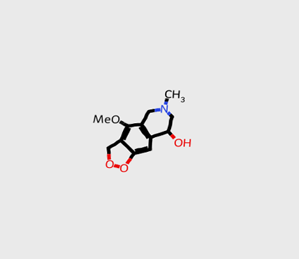 COc1c2c(cc3c1CN(C)CC3O)OOC2